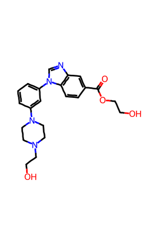 O=C(OCCO)c1ccc2c(c1)ncn2-c1cccc(N2CCN(CCO)CC2)c1